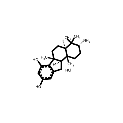 CC1(C)[C@H](N)CC[C@]2(C)[C@H]3Cc4cc(O)cc(O)c4[C@]3(C)CC[C@@H]12.Cl